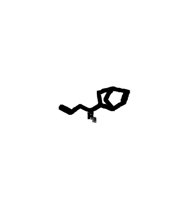 C=CC[SiH2]C1CC2C=CC1C2